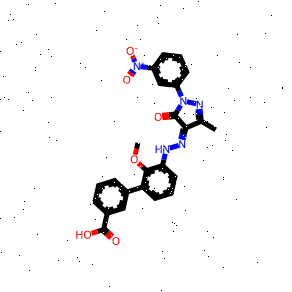 COc1c(NN=C2C(=O)N(c3cccc([N+](=O)[O-])c3)N=C2C)cccc1-c1cccc(C(=O)O)c1